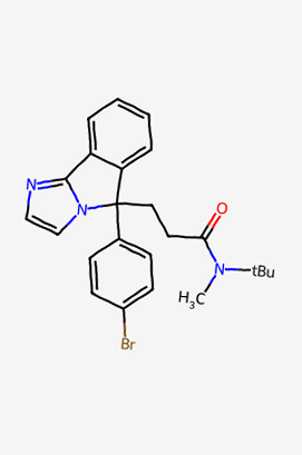 CN(C(=O)CCC1(c2ccc(Br)cc2)c2ccccc2-c2nccn21)C(C)(C)C